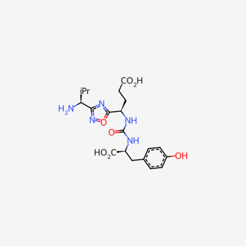 CC(C)[C@H](N)c1noc([C@@H](CCC(=O)O)NC(=O)N[C@@H](Cc2ccc(O)cc2)C(=O)O)n1